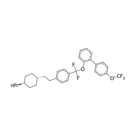 CCC[C@H]1CC[C@H](CCc2ccc(C(F)(F)Oc3ccccc3-c3ccc(OC(F)(F)F)cc3)cc2)CC1